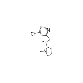 CN1CCCC1C1Cc2nccc(Cl)c2C1